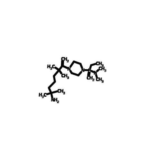 C=C(N1CCN(P(=C)(CC)N(C)C)CC1)C(C)(C)CCCC(C)(C)N